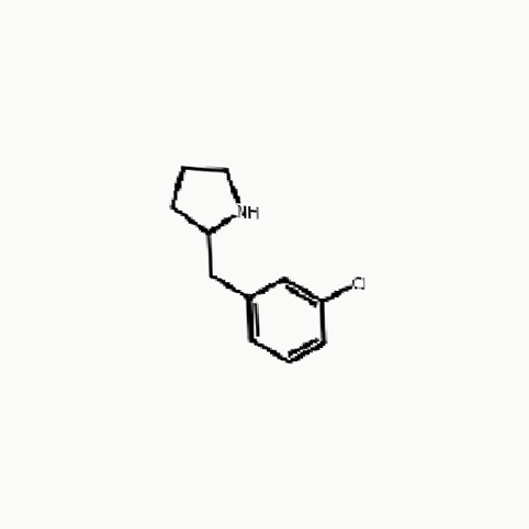 Clc1cccc(CC2CCCN2)c1